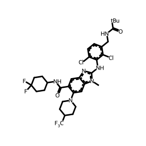 Cn1c(Nc2c(Cl)ccc(CNC(=O)C(C)(C)C)c2Cl)nc2cc(C(=O)NC3CCC(F)(F)CC3)c(N3CCC(C(F)(F)F)CC3)cc21